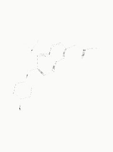 C[C@H]1CC[C@@H](Oc2ccc3cc(CC(=O)O)ccc3c2C(F)(F)F)CC1